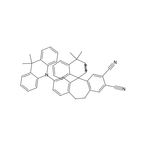 CC1(C)c2ccccc2N(c2ccc3c(c2)C2(c4cc(C#N)c(C#N)cc4CC3)c3ccccc3C(C)(C)c3ccccc32)c2ccccc21